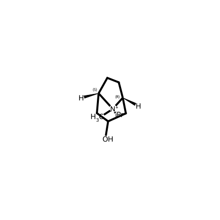 CC(C)[N+]1(C)[C@@H]2CC[C@H]1CC(O)C2